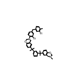 CCc1cc(Cc2ccc(N3COc4ccc(C(C)(C)c5cccc(C(C)(C)c6ccc7c(c6)CN(C)CO7)c5)cc4C3)c(CC)c2)ccc1C